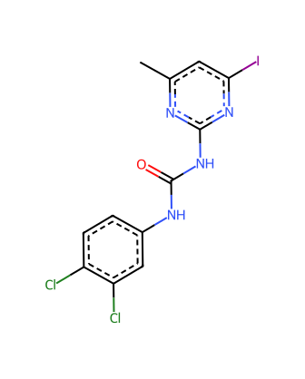 Cc1cc(I)nc(NC(=O)Nc2ccc(Cl)c(Cl)c2)n1